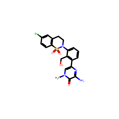 Cn1cc(-c2cccc(N3CCc4cc(Br)ccc4S3(=O)=O)c2CO)nc(N)c1=O